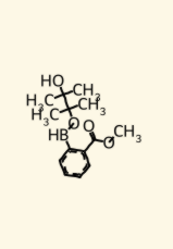 COC(=O)c1ccccc1BOC(C)(C)C(C)(C)O